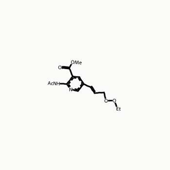 CCOOC/C=C/c1cnc(NC(C)=O)c(C(=O)OC)c1